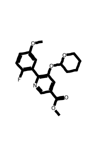 COC(=O)c1cnc(-c2cc(OC)ccc2F)c(OC2CCCCO2)c1